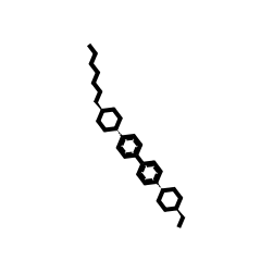 CCCCCCC[C@H]1CC[C@H](c2ccc(-c3ccc([C@H]4CC[C@H](CC)CC4)cc3)cc2)CC1